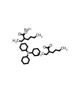 C1CCC(P(C2CCCCC2)C2CCCCC2)CC1.CCCCC(CC)C(=O)[O-].CCCCC(CC)C(=O)[O-].[Pd+2]